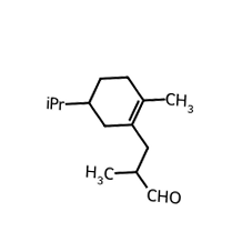 CC1=C(CC(C)C=O)CC(C(C)C)CC1